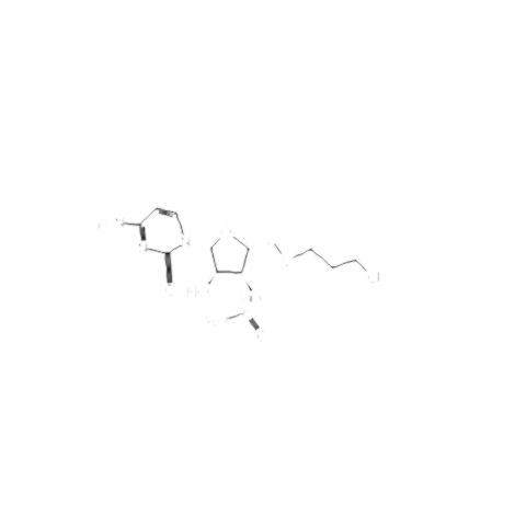 CCCCOC[C@H]1O[C@@H](n2ccc(N)nc2=O)[C@H](O)[C@@H]1O[PH](=O)O